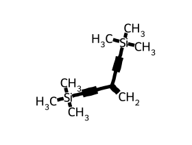 C=C(C#C[Si](C)(C)C)C#C[Si](C)(C)C